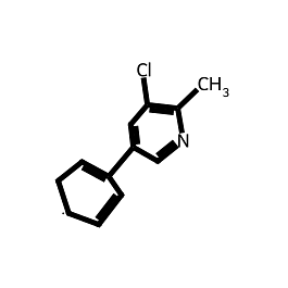 Cc1ncc(C2=CC[CH]C=C2)cc1Cl